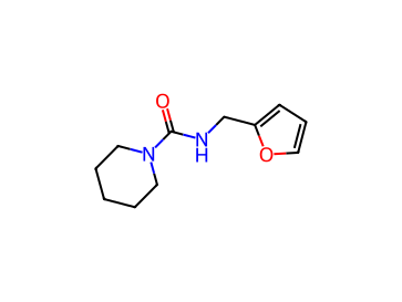 O=C(NCc1ccco1)N1CCCCC1